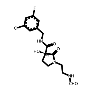 O=CNCCN1CC[C@](O)(C(=O)NCc2cc(F)cc(Cl)c2)C1=O